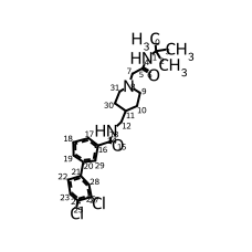 CC(C)(C)NC(=O)CN1CCC(CNC(=O)c2cccc(-c3ccc(Cl)c(Cl)c3)c2)CC1